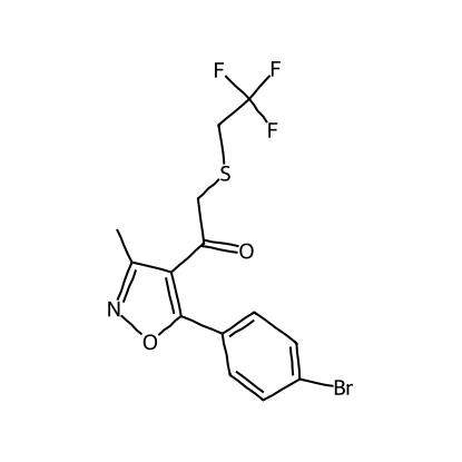 Cc1noc(-c2ccc(Br)cc2)c1C(=O)CSCC(F)(F)F